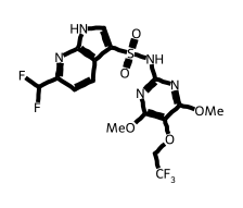 COc1nc(NS(=O)(=O)c2c[nH]c3nc(C(F)F)ccc23)nc(OC)c1OCC(F)(F)F